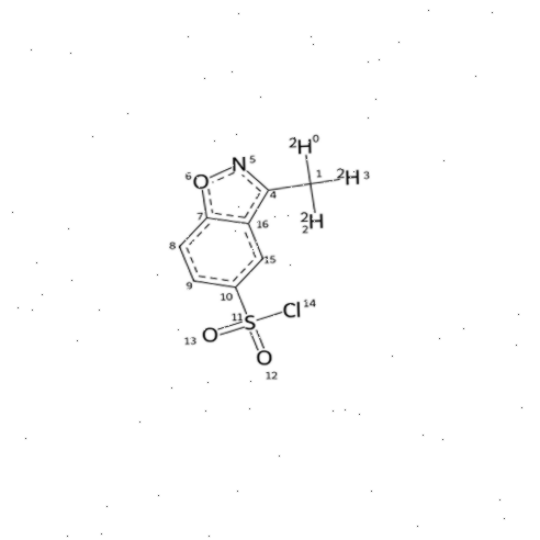 [2H]C([2H])([2H])c1noc2ccc(S(=O)(=O)Cl)cc12